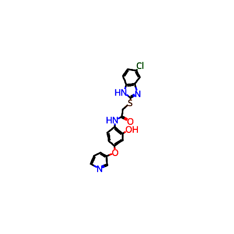 O=C(CSc1nc2cc(Cl)ccc2[nH]1)Nc1ccc(Oc2cccnc2)cc1O